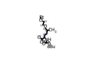 CCCCOC(=O)NC(/C=C/C(C)COCCOCC)C(=O)OC